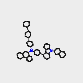 c1ccc(-c2ccc(-c3ccc(N(c4ccc(-c5cccc6c5c5ccccc5n6-c5ccc6ccccc6c5)cc4)c4cc5ccccc5c5ccccc45)cc3)cc2)cc1